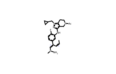 C/C=C\C(=C/N(C)N)c1ccc(F)c(Nc2nn(CC3CC3)c3c2CN(C(C)=O)CC3)c1